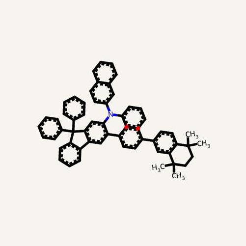 CC1(C)CCC(C)(C)c2cc(-c3ccc(-c4cc5c(cc4N(c4ccccc4)c4ccc6ccccc6c4)C(c4ccccc4)(c4ccccc4)c4ccccc4-5)cc3)ccc21